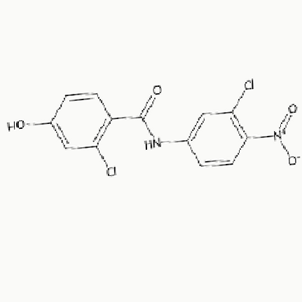 O=C(Nc1ccc([N+](=O)[O-])c(Cl)c1)c1ccc(O)cc1Cl